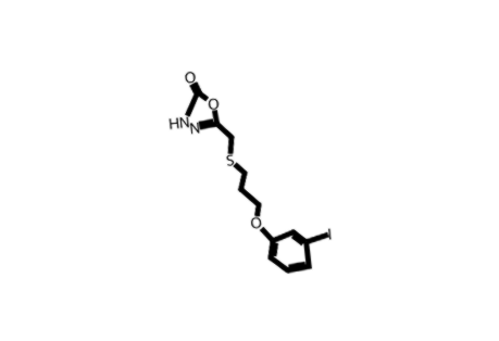 O=c1[nH]nc(CSCCCOc2cccc(I)c2)o1